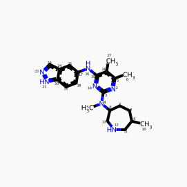 Cc1nc(N(C)C2CCC(C)CNC2)nc(Nc2ccc3[nH]ncc3c2)c1C